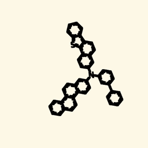 c1ccc(-c2cccc(N(c3ccc4c(ccc5c6ccccc6ccc45)c3)c3ccc4c(ccc5c6ccccc6sc45)c3)c2)cc1